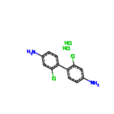 Cl.Cl.Nc1ccc(-c2ccc(N)cc2Cl)c(Cl)c1